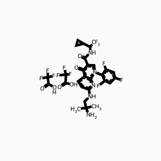 CC(C)(N)CNc1ccc2c(=O)c(C(=O)NC(C3CC3)C(F)(F)F)cn(-c3c(F)cc(F)cc3F)c2n1.O=C(O)C(F)(F)F.O=C(O)C(F)(F)F